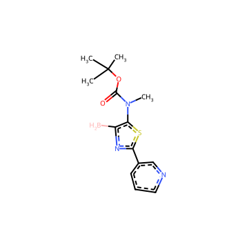 Bc1nc(-c2cccnc2)sc1N(C)C(=O)OC(C)(C)C